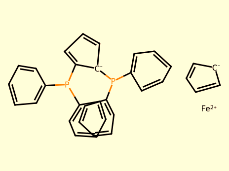 [Fe+2].c1cc[cH-]c1.c1ccc(P(c2ccccc2)c2ccc[c-]2P(c2ccccc2)c2ccccc2)cc1